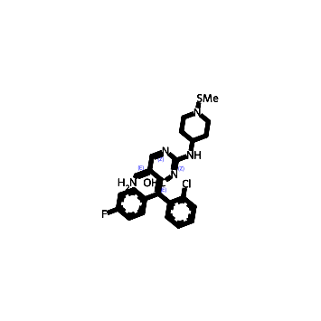 CSN1CCC(NC(/N=C\C(=C\N)\C=C(/c2ccc(F)cc2)c2ccccc2Cl)=N/C=O)CC1